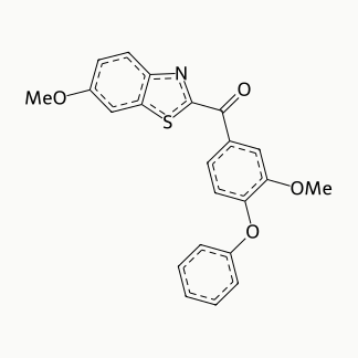 COc1ccc2nc(C(=O)c3ccc(Oc4ccccc4)c(OC)c3)sc2c1